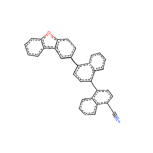 N#Cc1ccc(-c2ccc(-c3ccc4oc5ccccc5c4c3)c3ccccc23)c2ccccc12